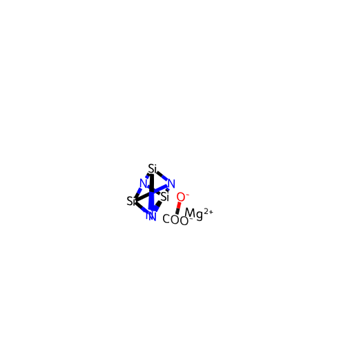 N12[Si]34N5[Si]16N3[Si]25N46.O=C([O-])[O-].[Mg+2]